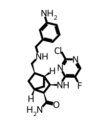 NC(=O)[C@H]1[C@@H]2C[C@@H](CNCc3cccc(N)c3)[C@@H](C2)[C@H]1Nc1nc(Cl)ncc1F